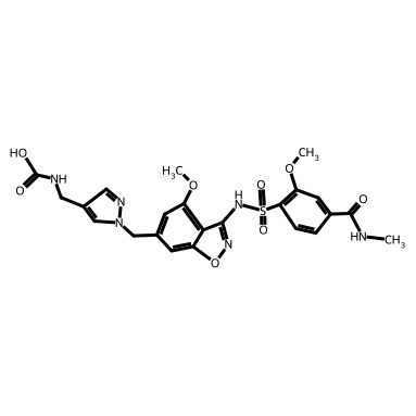 CNC(=O)c1ccc(S(=O)(=O)Nc2noc3cc(Cn4cc(CNC(=O)O)cn4)cc(OC)c23)c(OC)c1